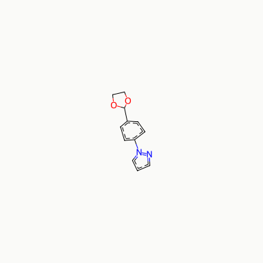 c1cnn(-c2ccc(C3OCCO3)cc2)c1